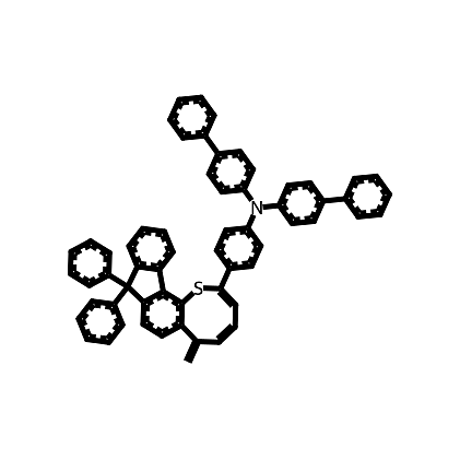 C=C1/C=C\C=C(\c2ccc(N(c3ccc(-c4ccccc4)cc3)c3ccc(-c4ccccc4)cc3)cc2)Sc2c1ccc1c2-c2ccccc2C1(c1ccccc1)c1ccccc1